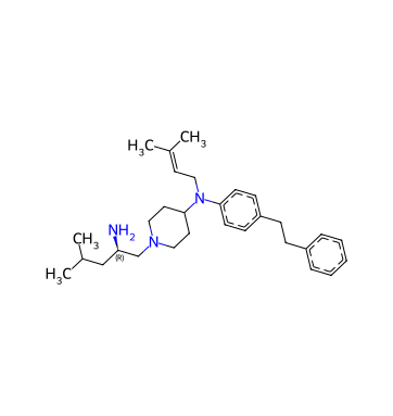 CC(C)=CCN(c1ccc(CCc2ccccc2)cc1)C1CCN(C[C@H](N)CC(C)C)CC1